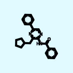 O=C(Nc1ncc(-c2ccccc2)nc1CC1CCCC1)c1ccccc1